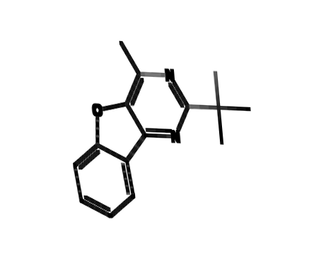 Cc1nc(C(C)(C)C)nc2c1oc1ccccc12